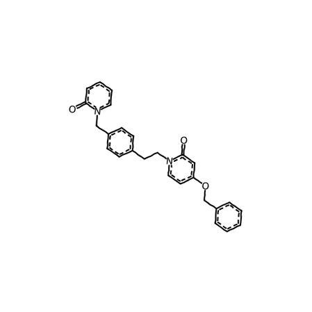 O=c1cc(OCc2ccccc2)ccn1CCc1ccc(Cn2ccccc2=O)cc1